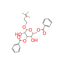 CS(C)(C)CCOC1OC(COC(=O)c2ccccc2)C(O)C(OC(=O)c2ccccc2)C1O